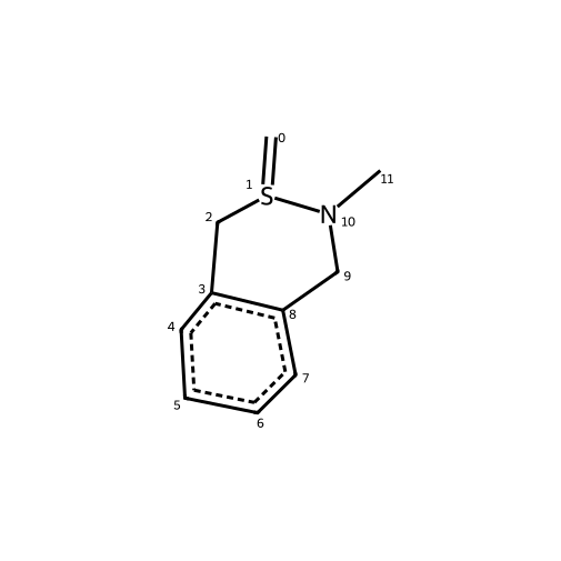 C=S1Cc2ccccc2CN1C